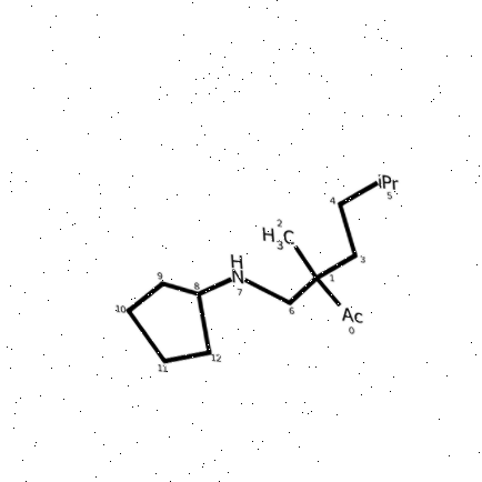 CC(=O)C(C)(CCC(C)C)CNC1CCCC1